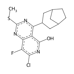 CSc1nc(C2CC3CCC(C3)C2)c2c(O)nc(Cl)c(F)c2n1